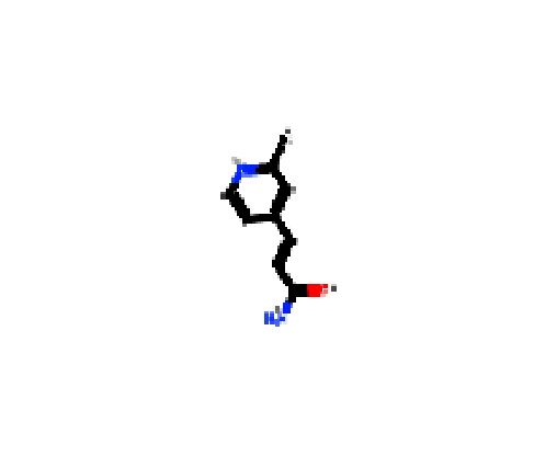 CCc1cc(/C=C/C(N)=O)ccn1